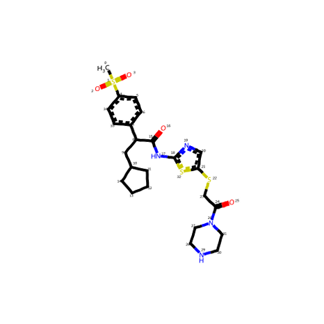 CS(=O)(=O)c1ccc(C(CC2CCCC2)C(=O)Nc2ncc(SCC(=O)N3CCNCC3)s2)cc1